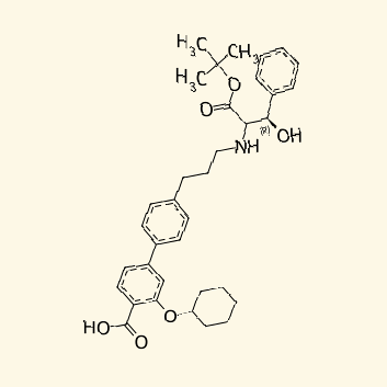 CC(C)(C)OC(=O)C(NCCCc1ccc(-c2ccc(C(=O)O)c(OC3CCCCC3)c2)cc1)[C@H](O)c1ccccc1